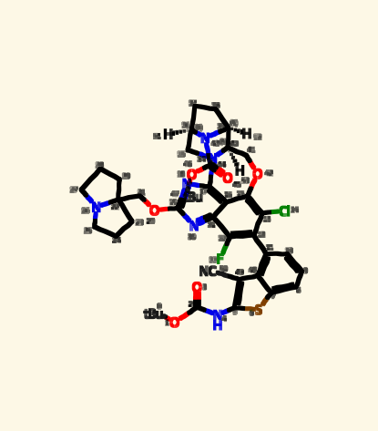 CC(C)(C)OC(=O)Nc1sc2cccc(-c3c(Cl)c4c5c(nc(OCC67CCCN6CCC7)nc5c3F)N3C[C@H]5CC[C@@H]([C@H]3CO4)N5C(=O)OC(C)(C)C)c2c1C#N